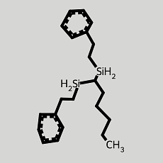 CCCCCC([SiH2]CCc1ccccc1)[SiH2]CCc1ccccc1